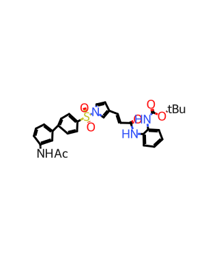 CC(=O)Nc1cccc(-c2ccc(S(=O)(=O)n3ccc(C=CC(=O)Nc4ccccc4NC(=O)OC(C)(C)C)c3)cc2)c1